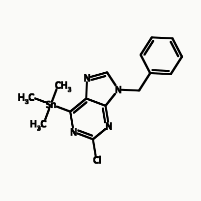 [CH3][Sn]([CH3])([CH3])[c]1nc(Cl)nc2c1ncn2Cc1ccccc1